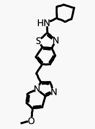 COc1ccn2c(Cc3ccc4nc(NC5CCCCC5)sc4c3)cnc2c1